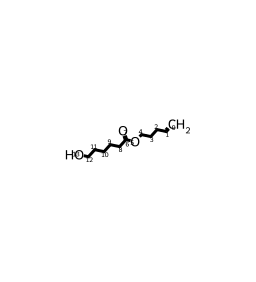 C=CCCCOC(=O)CCCCCO